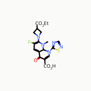 CCOC(=O)C1CN(C2=C(F)C=C3C(=O)C(C(=O)O)=CN(c4ncns4)C3N2C)C1